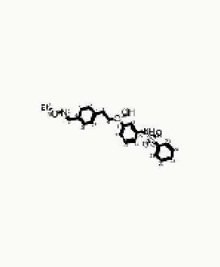 CCO/N=C/c1ccc(CCOc2cccc(NS(=O)(=O)c3ccccc3)c2)cc1.Cl